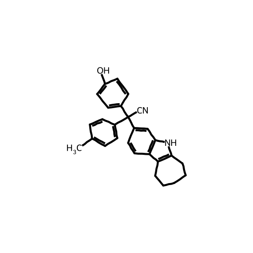 Cc1ccc(C(C#N)(c2ccc(O)cc2)c2ccc3c4c([nH]c3c2)CCCCC4)cc1